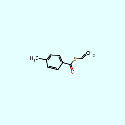 C=CSC(=O)c1ccc(C)cc1